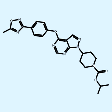 Cc1nc(-c2ccc(Oc3ncnc4c3cnn4C3CCN(C(=O)OC(C)C)CC3)cc2)no1